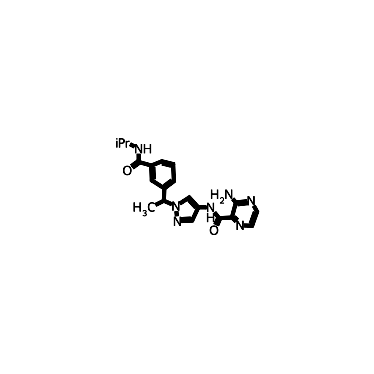 CC(C)NC(=O)c1cccc(C(C)n2cc(NC(=O)c3nccnc3N)cn2)c1